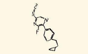 Fc1nc(N=C=S)cnc1-c1ccc(CC2CC2)cc1